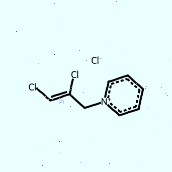 Cl/C=C(\Cl)C[n+]1ccccc1.[Cl-]